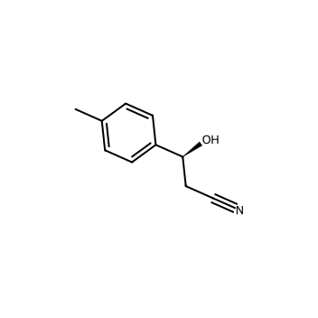 Cc1ccc([C@@H](O)CC#N)cc1